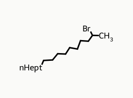 CCCCCCCCCCCCCCCC(C)Br